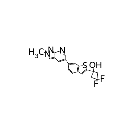 Cn1cc2cc(-c3ccc4cc(C5(O)CC(F)(F)C5)sc4c3)cnc2n1